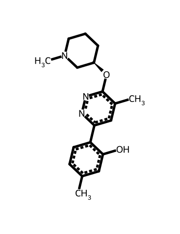 Cc1ccc(-c2cc(C)c(O[C@@H]3CCCN(C)C3)nn2)c(O)c1